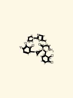 Cc1ccc(F)c(O[C@@H]2CCN(c3ncc(C[C@H](CN)C(=O)N(Cc4cccc(Cl)c4Cl)C4CC4)s3)C2)c1Cl